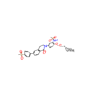 COCCOCOc1ccc(N2CCc3cc(-c4ccc(S(C)(=O)=O)cc4)ccc3C2=O)cc1NS(C)(=O)=O